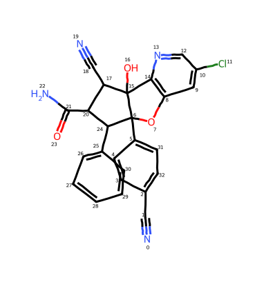 N#Cc1ccc(C23Oc4cc(Cl)cnc4C2(O)C(C#N)C(C(N)=O)C3c2ccccc2)cc1